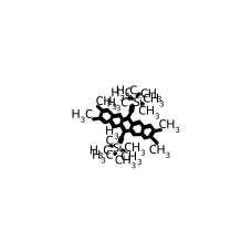 CCc1cc2cc3c(C#C[Si](C(C)C)(C(C)C)C(C)C)c4cc5cc(CC)c(CC)cc5cc4c(C#C[Si](C(C)C)(C(C)C)C(C)C)c3cc2cc1CC